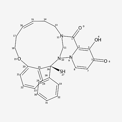 O=C1c2c(O)c(=O)ccn2N2CN1CC/C=C\CCOc1ccccc1[C@@]2(S)c1ccccc1